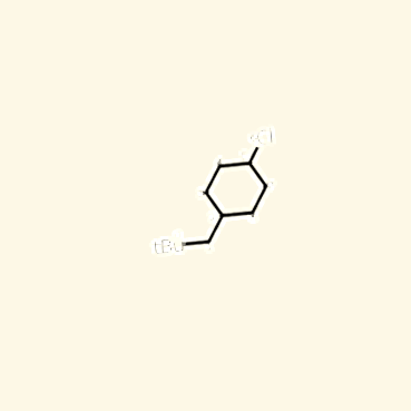 CC(C)(C)CC1CCC(Cl)CC1